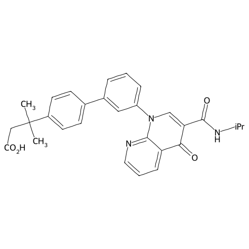 CC(C)NC(=O)c1cn(-c2cccc(-c3ccc(C(C)(C)CC(=O)O)cc3)c2)c2ncccc2c1=O